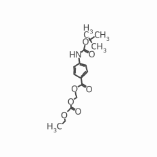 CCOC(=O)OCOC(=O)c1ccc(NC(=O)OC(C)(C)C)cc1